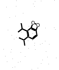 CC(C)c1ccc2ooc2c1C(C)C